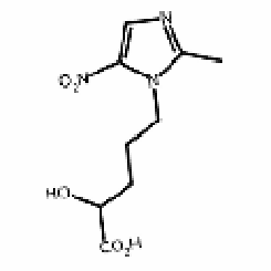 Cc1ncc([N+](=O)[O-])n1CCCC(O)C(=O)O